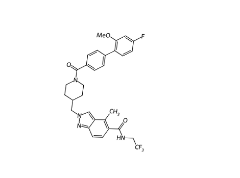 COc1cc(F)ccc1-c1ccc(C(=O)N2CCC(Cn3cc4c(C)c(C(=O)NCC(F)(F)F)ccc4n3)CC2)cc1